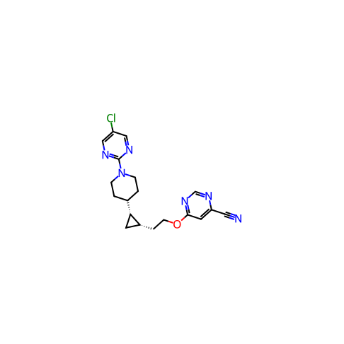 N#Cc1cc(OCC[C@@H]2C[C@@H]2C2CCN(c3ncc(Cl)cn3)CC2)ncn1